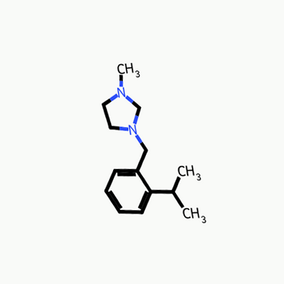 CC(C)c1ccccc1CN1CCN(C)C1